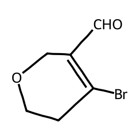 O=CC1=C(Br)CCOC1